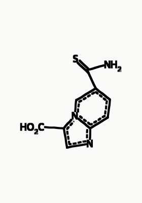 NC(=S)c1ccc2ncc(C(=O)O)n2c1